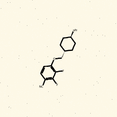 CCC[C@H]1CC[C@H](COc2ccc(C#N)c(F)c2F)CC1